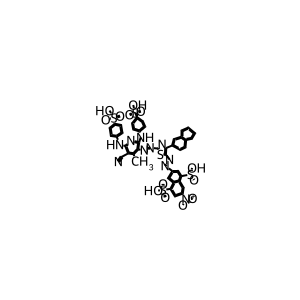 Cc1c(C#N)c(Nc2ccc(S(=O)(=O)O)cc2)nc(Nc2ccc(S(=O)(=O)O)cc2)c1/N=N/c1nc(-c2ccc3ccccc3c2)c(N=Nc2cc(S(=O)O)c3cc([N+](=O)[O-])cc(S(=O)(=O)O)c3c2)s1